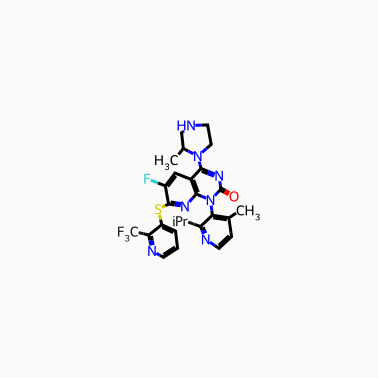 Cc1ccnc(C(C)C)c1-n1c(=O)nc(N2CCNCC2C)c2cc(F)c(Sc3cccnc3C(F)(F)F)nc21